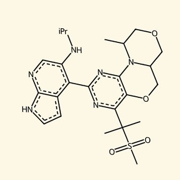 CC(C)Nc1cnc2[nH]ccc2c1-c1nc2c(c(C(C)(C)S(C)(=O)=O)n1)OCC1COCC(C)N21